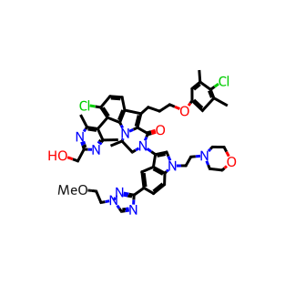 COCCn1cnc(-c2ccc3c(c2)c(N2CC(C)n4c(c(CCCOc5cc(C)c(Cl)c(C)c5)c5ccc(Cl)c(-c6c(C)nc(CO)nc6C)c54)C2=O)cn3CCN2CCOCC2)n1